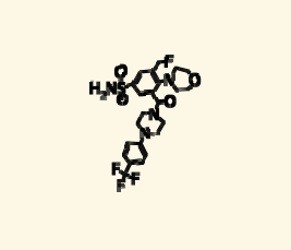 NS(=O)(=O)c1cc(CF)c(N2CCOCC2)c(C(=O)N2CCN(c3ccc(C(F)(F)F)cc3)CC2)c1